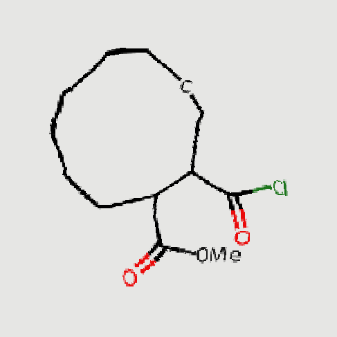 COC(=O)C1CCCCCCCCC1C(=O)Cl